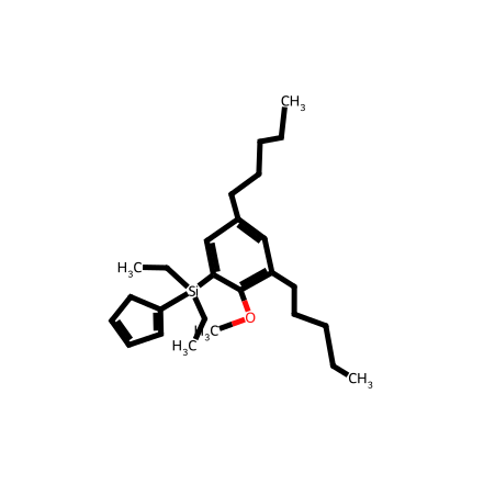 CCCCCc1cc(CCCCC)c(OC)c([Si](CC)(CC)C2=CC=CC2)c1